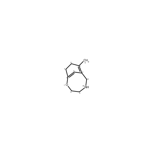 CC1=C2C=C(CC1)OCCNC2